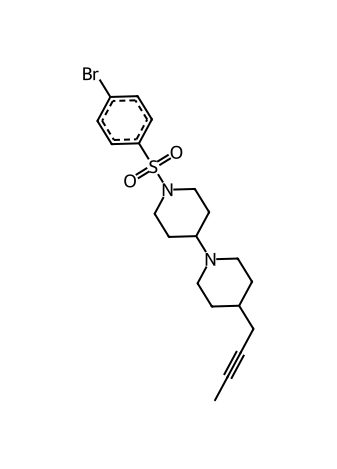 CC#CCC1CCN(C2CCN(S(=O)(=O)c3ccc(Br)cc3)CC2)CC1